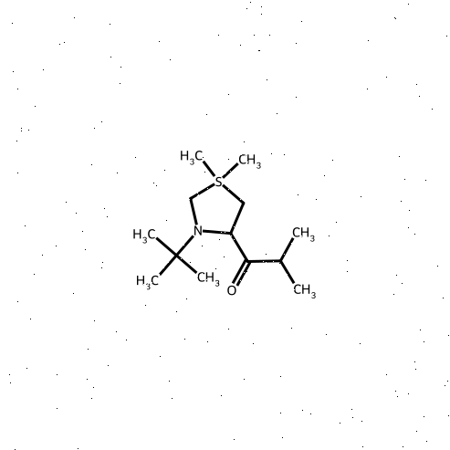 CC(C)C(=O)C1CS(C)(C)CN1C(C)(C)C